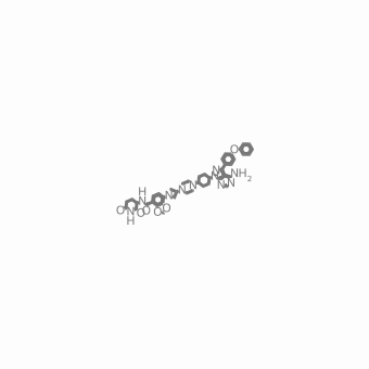 Nc1ncnc2c1c(-c1ccc(Oc3ccccc3)cc1)nn2C1CCC(N2CCN(C3CN(c4ccc(C(=O)NC5CCC(=O)NC5=O)c5c4OCO5)C3)CC2)CC1